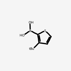 CC(C)(C)c1ccsc1B(O)O